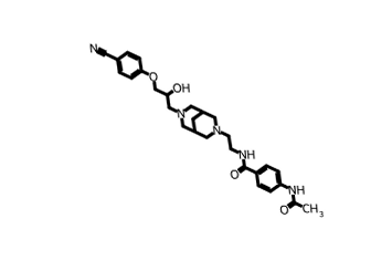 CC(=O)Nc1ccc(C(=O)NCCN2CC3CC(C2)CN(CC(O)COc2ccc(C#N)cc2)C3)cc1